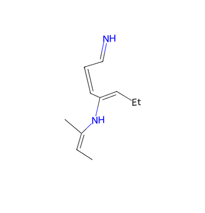 C/C=C(/C)NC(/C=C\C=N)=C\CC